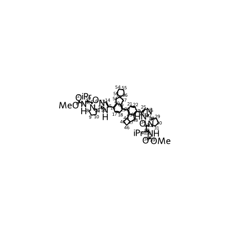 COC(=O)N[C@H](C(=O)N1CCC[C@H]1c1ncc(-c2ccc(-c3ccc(-c4cnc([C@@H]5CCCN5C(=O)[C@@H](NC(=O)OC)C(C)C)[nH]4)c4c3C3CCC3C4)c3c2CC2(CCCC2)C3)[nH]1)C(C)C